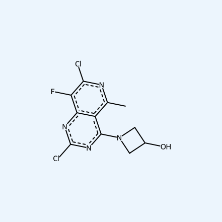 Cc1nc(Cl)c(F)c2nc(Cl)nc(N3CC(O)C3)c12